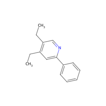 CCc1cnc(-c2ccccc2)cc1CC